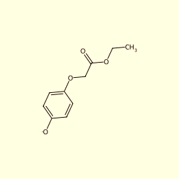 CCOC(=O)COc1ccc([O])cc1